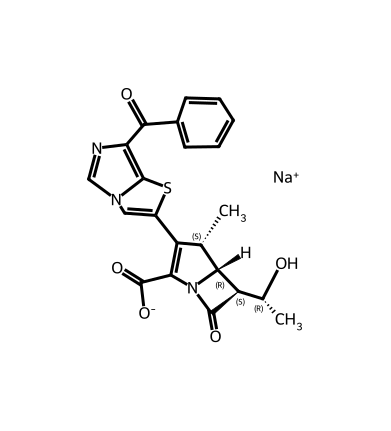 C[C@@H](O)[C@H]1C(=O)N2C(C(=O)[O-])=C(c3cn4cnc(C(=O)c5ccccc5)c4s3)[C@H](C)[C@H]12.[Na+]